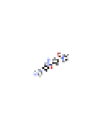 CN(C)C1CCN(c2ccc(NC(=O)c3ccc(C(=O)N4CCCCC4)cc3)cc2)C1